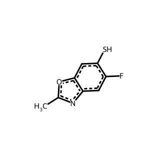 Cc1nc2cc(F)c(S)cc2o1